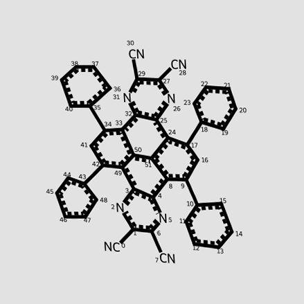 N#Cc1nc2c(nc1C#N)c1c(-c3ccccc3)cc(-c3ccccc3)c3c4nc(C#N)c(C#N)nc4c4c(-c5ccccc5)cc(-c5ccccc5)c2c4c13